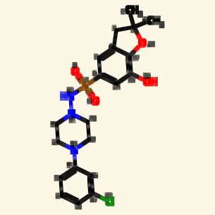 CC1(C)Cc2cc(S(=O)(=O)NN3CCN(c4cccc(Cl)c4)CC3)cc(O)c2O1